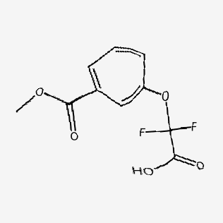 COC(=O)c1cccc(OC(F)(F)C(=O)O)c1